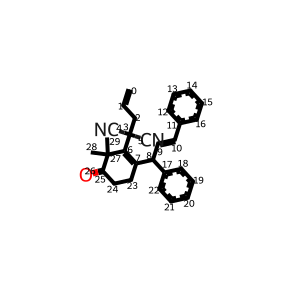 C=CCC(C#N)(C#N)C1=C(C(/C=C/c2ccccc2)c2ccccc2)CCC(=O)C1(C)C